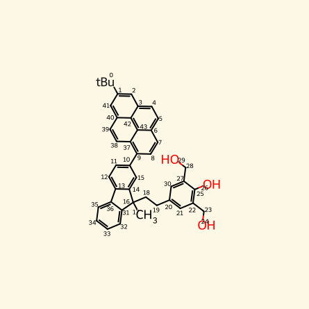 CC(C)(C)c1cc2ccc3ccc(-c4ccc5c(c4)C(C)(CCc4cc(CO)c(O)c(CO)c4)c4ccccc4-5)c4ccc(c1)c2c34